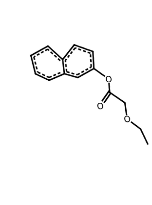 CCOCC(=O)Oc1ccc2ccccc2c1